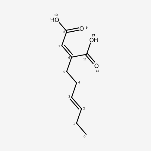 CCC=CCCC(=CC(=O)O)C(=O)O